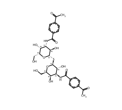 CC(=O)c1ccc(C(=O)N[C@H]2[C@@H](O)[C@@H](CO)O[C@@H](S[C@@H]3O[C@H](CO)[C@H](O)[C@H](NC(=O)c4ccc(C(C)=O)cc4)[C@H]3O)[C@@H]2O)cc1